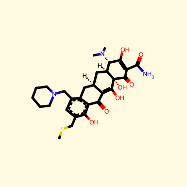 CSCc1cc(CN2CCCCC2)c2c(c1O)C(=O)C1=C(O)[C@]3(O)C(=O)C(C(N)=O)=C(O)[C@@H](N(C)C)[C@@H]3C[C@@H]1C2